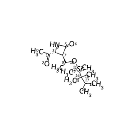 CC(=O)[C@@H]1NC(=O)[C@H]1C(C)O[Si](C)(C)C(C)(C)C(C)C